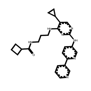 O=C(NCCCNc1nc(Nc2ccc(-c3cccnc3)nc2)ncc1C1CC1)C1CCC1